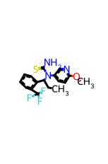 CCC(c1ccccc1C(F)(F)F)N(C(N)=S)c1ccc(OC)nc1